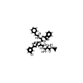 CCC[C@@H](NC(=O)C1C[C@]2(CC(c3cccc(Cl)c3)=NO2)CN1C(=O)[C@H](Cc1csc2ccccc12)NC(=O)CC1CCCCC1)C(O)C(=O)NC1CC1